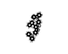 c1ccc2c(-c3cc4c5cc(-n6c7ccccc7c7ccccc76)ccc5oc4c4oc5ccc(-n6c7ccccc7c7ccccc76)cc5c34)cccc2c1